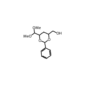 COC(OC)C1CC(CO)OC(c2ccccc2)O1